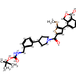 CSc1sc(C(=O)N2CCC(c3cccc(CNC(=O)OC(C)(C)C)c3)CC2)cc1-c1cccc2c1COB2O